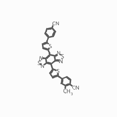 Cc1cc(-c2ccc(-c3c4c(c(-c5ccc(-c6ccc(C#N)cc6)s5)c5nsnc35)N=S=N4)s2)ccc1C#N